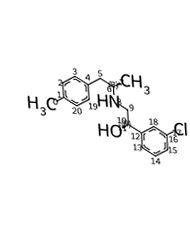 Cc1ccc(C[C@@H](C)NC[C@H](O)c2cccc(Cl)c2)cc1